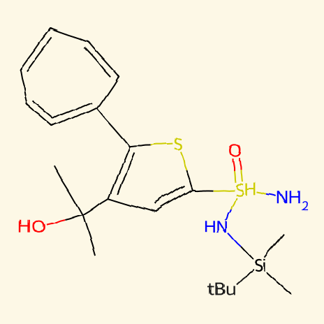 CC(C)(O)c1cc([SH](N)(=O)N[Si](C)(C)C(C)(C)C)sc1C1=C=CC=CC=C1